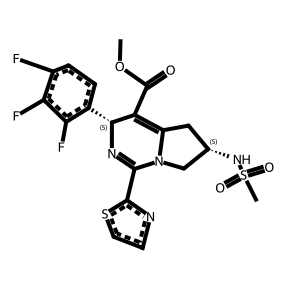 COC(=O)C1=C2C[C@H](NS(C)(=O)=O)CN2C(c2nccs2)=N[C@@H]1c1ccc(F)c(F)c1F